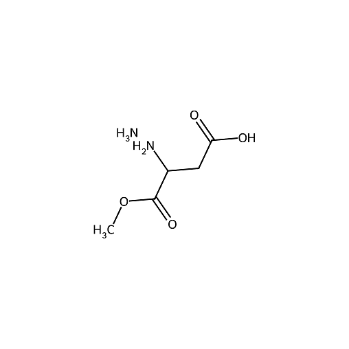 COC(=O)C(N)CC(=O)O.N